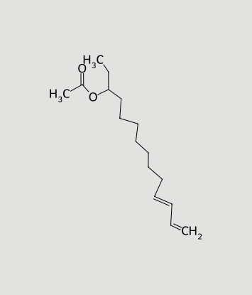 C=CC=CCCCCCCCC(CC)OC(C)=O